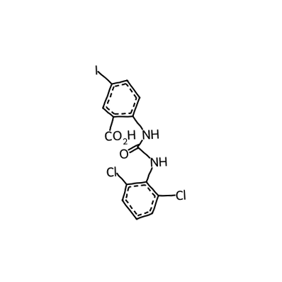 O=C(Nc1ccc(I)cc1C(=O)O)Nc1c(Cl)cccc1Cl